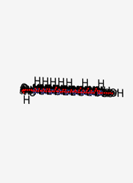 CC(=O)O[C@H](CN/C=C(/COC[C@@H](CN/C=C(/COC[C@@H](CN/C=C(/COC[C@@H](CN/C=C(/COC[C@@H](CN/C=C(/COC[C@@H](CN/C=C(/COC[C@@H](CN/C=C(/COC[C@@H](CN/C=C(/CNC(=O)CCCCCNC(=O)C1C2C=CC(C2)C1C=O)N=N)OC(C)=O)N=N)OC(C)=O)N=N)OC(C)=O)N=N)OC(C)=O)N=N)OC(C)=O)N=N)OC(C)=O)N=N)OC(C)=O)N=N)COC/C(=C/NCCOCCOCCOCCO)N=N